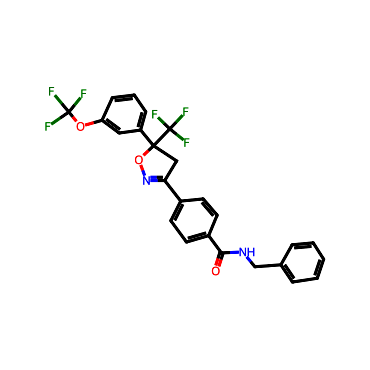 O=C(NCc1ccccc1)c1ccc(C2=NOC(c3cccc(OC(F)(F)F)c3)(C(F)(F)F)C2)cc1